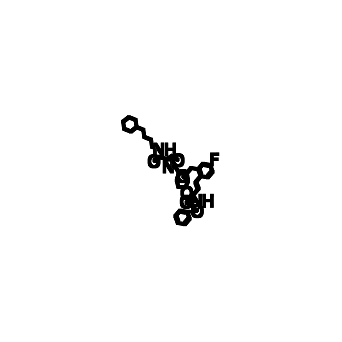 O=C(/C=C/c1ccc(F)cc1CC1C2CCC(O2)C1c1nc(C(=O)NCCCCC2CCCCC2)co1)NS(=O)(=O)c1ccccc1